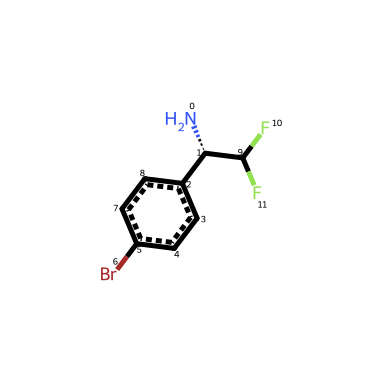 N[C@@H](c1ccc(Br)cc1)C(F)F